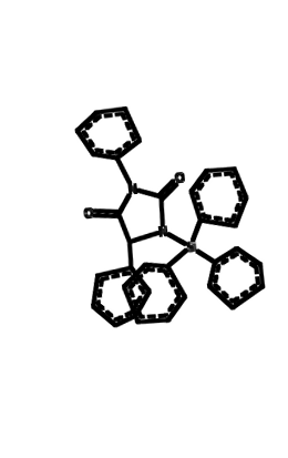 O=C1C(c2ccccc2)N([Si](c2ccccc2)(c2ccccc2)c2ccccc2)C(=O)N1c1ccccc1